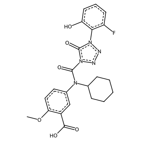 COc1ccc(N(C(=O)n2nnn(-c3c(O)cccc3F)c2=O)C2CCCCC2)cc1C(=O)O